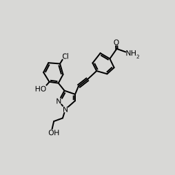 NC(=O)c1ccc(C#Cc2cn(CCO)nc2-c2cc(Cl)ccc2O)cc1